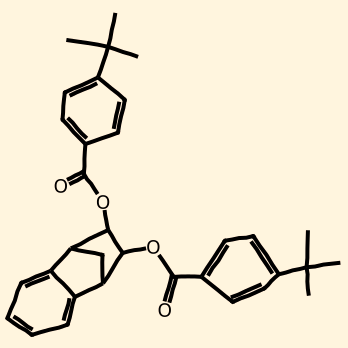 CC(C)(C)c1ccc(C(=O)OC2C3CC(c4ccccc43)C2OC(=O)c2ccc(C(C)(C)C)cc2)cc1